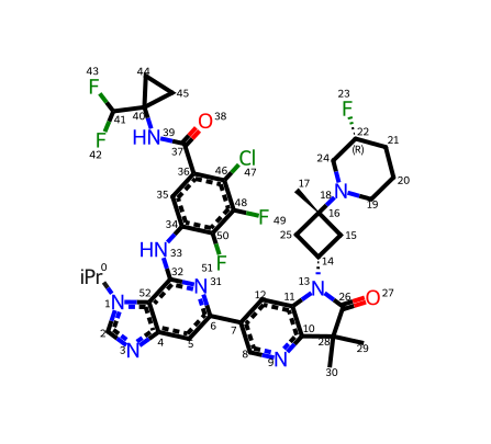 CC(C)n1cnc2cc(-c3cnc4c(c3)N([C@H]3C[C@@](C)(N5CCC[C@@H](F)C5)C3)C(=O)C4(C)C)nc(Nc3cc(C(=O)NC4(C(F)F)CC4)c(Cl)c(F)c3F)c21